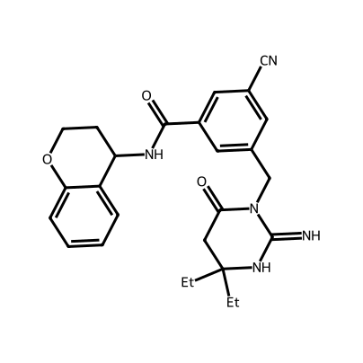 CCC1(CC)CC(=O)N(Cc2cc(C#N)cc(C(=O)NC3CCOc4ccccc43)c2)C(=N)N1